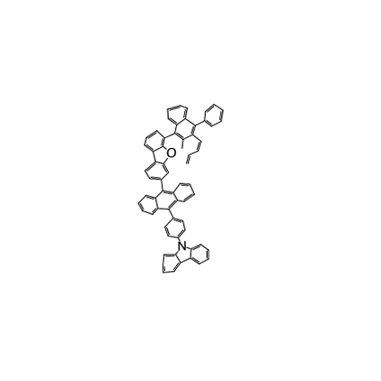 C=C/C=C\c1c(C)c(-c2cccc3c2oc2cc(-c4c5ccccc5c(-c5ccc(-n6c7ccccc7c7ccccc76)cc5)c5ccccc45)ccc23)c2ccccc2c1-c1ccccc1